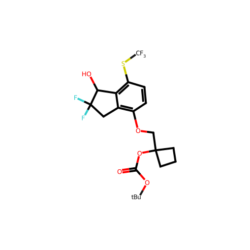 CC(C)(C)OC(=O)OC1(COc2ccc(SC(F)(F)F)c3c2CC(F)(F)C3O)CCC1